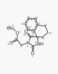 CC(C)(C)OC(=O)CN1C(=O)NC2(CCCc3ccccc32)C1=O